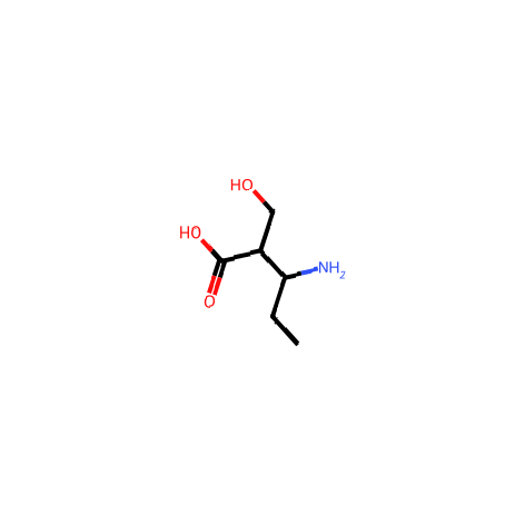 CC[C](N)C(CO)C(=O)O